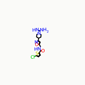 N=C(N)N1CCC(c2cc(CNC(=O)c3ccc(Cl)s3)on2)CC1